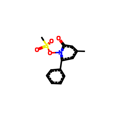 Cc1cc(-c2ccccc2)n(OS(C)(=O)=O)c(=O)c1